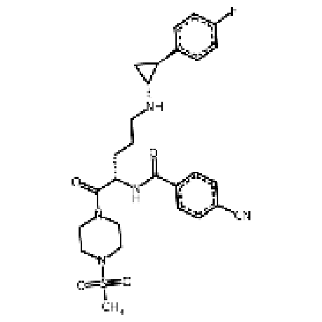 CS(=O)(=O)N1CCN(C(=O)[C@H](CCCN[C@@H]2C[C@H]2c2ccc(F)cc2)NC(=O)c2ccc(C#N)cc2)CC1